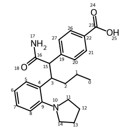 CCCC(c1ccccc1N1CCCC1)C(C(N)=O)c1ccc(C(=O)O)cc1